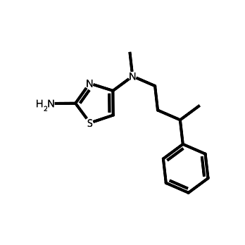 CC(CCN(C)c1csc(N)n1)c1ccccc1